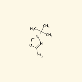 CC(C)(C)[C@H]1COC(P)=N1